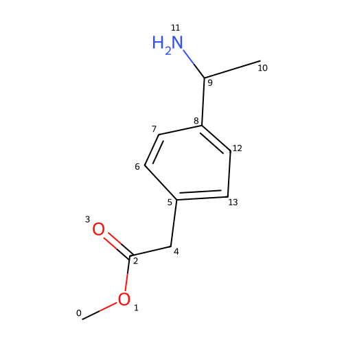 COC(=O)Cc1ccc(C(C)N)cc1